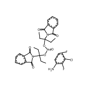 CCC(CC)(O[PH](=O)OC(CC)(CC)N1C(=O)c2ccccc2C1=O)N1C(=O)c2ccccc2C1=O.Nc1ccc(F)c(Cl)c1F